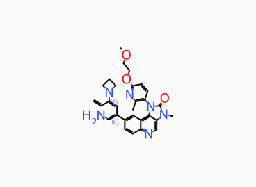 C=C/C(=C\C(=C/N)c1ccc2ncc3c(c2c1)n(-c1ccc(OCCOC)nc1C)c(=O)n3C)N1CCC1